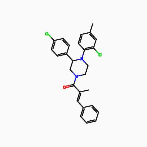 C/C(=C\c1ccccc1)C(=O)N1CCN(c2ccc(C)cc2Cl)C(c2ccc(Cl)cc2)C1